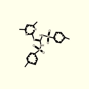 Cc1ccc(S(=O)(=O)NC(=Nc2nc(C)cc(C)n2)NS(=O)(=O)c2ccc(C)cc2)cc1